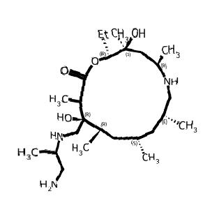 CC[C@H]1OC(=O)C(C)[C@@](O)(CNC(C)CN)[C@H](C)C[C@@H](C)C[C@@H](C)CN[C@H](C)C[C@]1(C)O